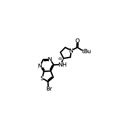 CC(C)(C)C(=O)N1CC[C@H](Nc2ncnc3sc(Br)cc23)C1